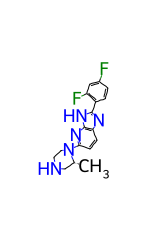 C[C@@H]1CNCCN1c1ccc2nc(-c3ccc(F)cc3F)[nH]c2n1